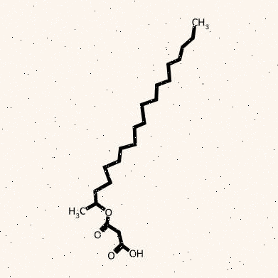 CCCCCCCCCCCCCCCCCC(C)OC(=O)CC(=O)O